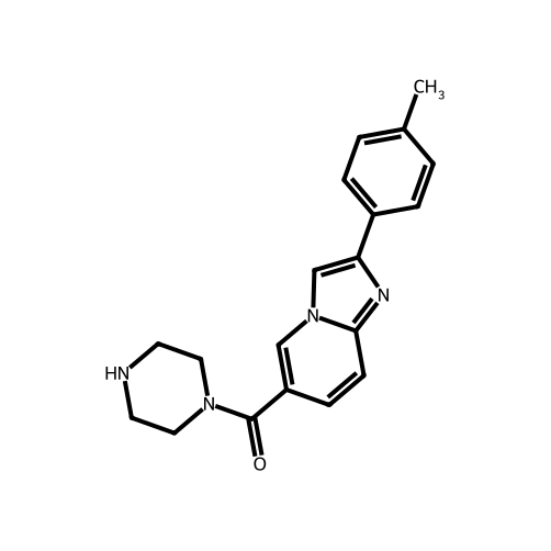 Cc1ccc(-c2cn3cc(C(=O)N4CCNCC4)ccc3n2)cc1